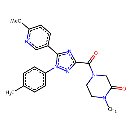 COc1ccc(-c2nc(C(=O)N3CCN(C)C(=O)C3)nn2-c2ccc(C)cc2)cn1